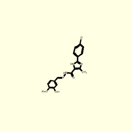 COc1ccc(C=NNC(=O)c2[nH]c(-c3ccc(Cl)cc3)nc2C)cc1O